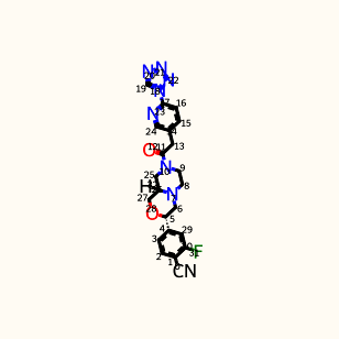 N#Cc1ccc([C@H]2CN3CCN(C(=O)Cc4ccc(-n5cnnn5)nc4)C[C@H]3CO2)cc1F